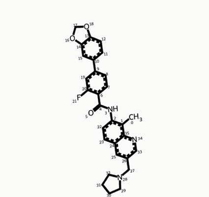 Cc1c(NC(=O)c2ccc(-c3ccc4c(c3)OCO4)cc2F)ccc2cc(CN3CCCC3)cnc12